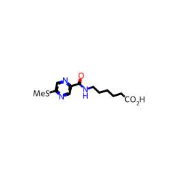 CSc1cnc(C(=O)NCCCCCC(=O)O)cn1